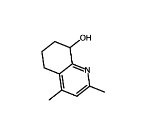 Cc1cc(C)c2c(n1)C(O)CCC2